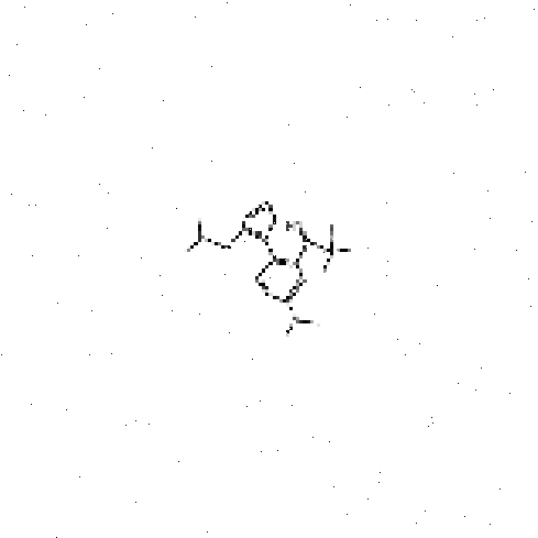 CN(C)CC1=C(c2ccc(N(C)C)cc2C(=N)C(C)(C)C)CC=C1